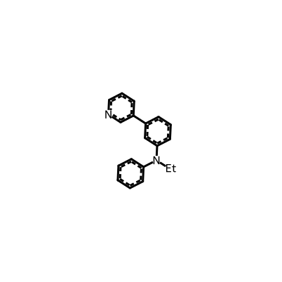 CCN(c1ccccc1)c1cccc(-c2cccnc2)c1